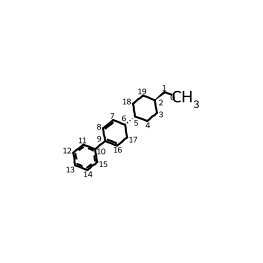 CC[C@H]1CC[C@H](C2C=CC(c3ccccc3)=CC2)CC1